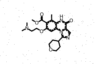 COC(=O)c1c(OCCN(C)C)cc2c([nH]c(=O)c3cnc(C4CCOCC4)n32)c1C